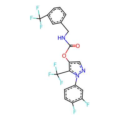 O=C(NCc1cccc(C(F)(F)F)c1)Oc1cnn(-c2ccc(F)c(F)c2)c1C(F)(F)F